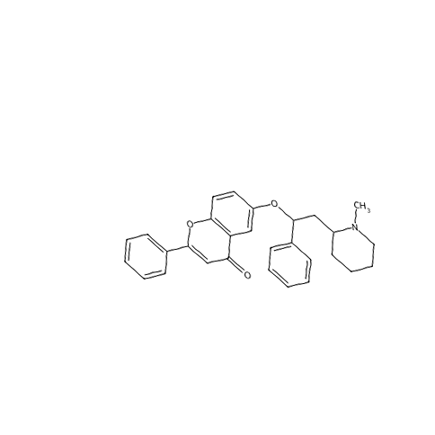 CN1CCCCC1CC(Oc1ccc2oc(-c3ccccc3)cc(=O)c2c1)c1ccccc1